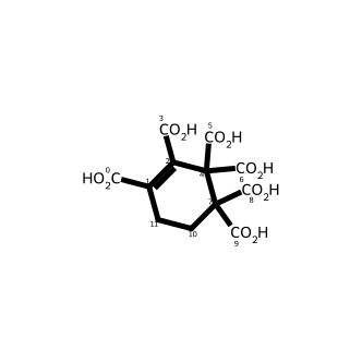 O=C(O)C1=C(C(=O)O)C(C(=O)O)(C(=O)O)C(C(=O)O)(C(=O)O)CC1